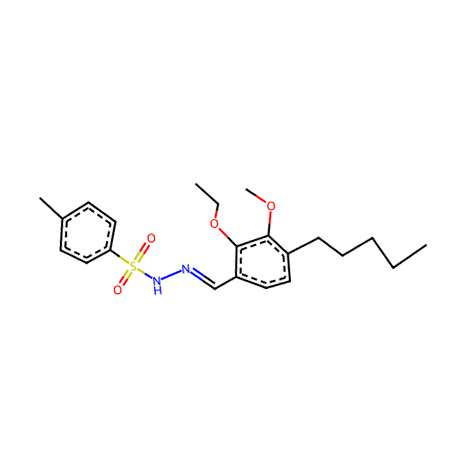 CCCCCc1ccc(C=NNS(=O)(=O)c2ccc(C)cc2)c(OCC)c1OC